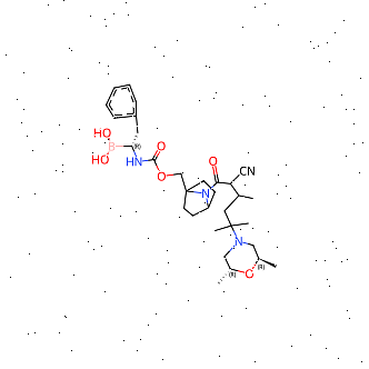 CC(CC(C)(C)N1C[C@@H](C)O[C@H](C)C1)C(C#N)C(=O)N1C2CCC1(COC(=O)N[C@@H](Cc1ccccc1)B(O)O)CC2